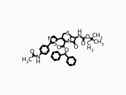 CC(=O)Nc1ccc(-c2ncc(C3=C(C(=O)OC(c4ccccc4)c4ccccc4)N4C(=O)C(NC(=O)OC(C)(C)C)C4SC3)s2)cc1